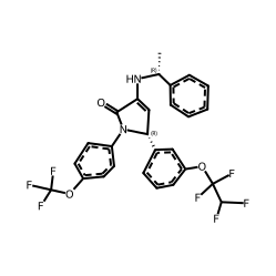 C[C@@H](NC1=C[C@H](c2cccc(OC(F)(F)C(F)F)c2)N(c2ccc(OC(F)(F)F)cc2)C1=O)c1ccccc1